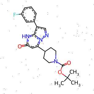 CC(C)(C)OC(=O)N1CCC(c2cc(=O)[nH]c3c(-c4cccc(F)c4)cnn23)CC1